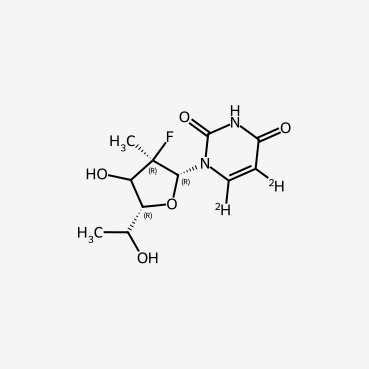 [2H]c1c([2H])n([C@@H]2O[C@H](C(C)O)C(O)[C@@]2(C)F)c(=O)[nH]c1=O